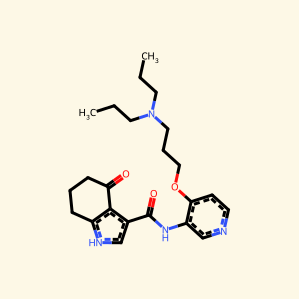 CCCN(CCC)CCCOc1ccncc1NC(=O)c1c[nH]c2c1C(=O)CCC2